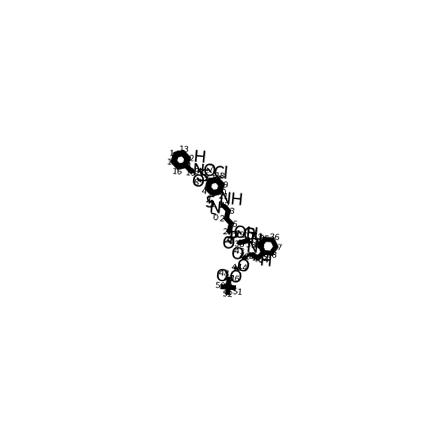 CN1Sc2cc(S(=O)(=O)NCc3ccccc3)c(Cl)cc2NC1CCCCP(=O)(O)CC(=O)N1[C@@H]2CCCC[C@@H]2C[C@H]1C(=O)OCOC(=O)C(C)(C)C